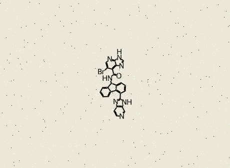 O=C(NC1c2ccccc2-c2c(-c3nc4ccncc4[nH]3)cccc21)c1c(Br)cnc2[nH]cnc12